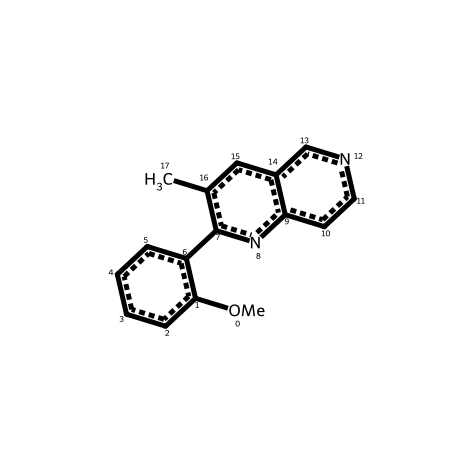 COc1ccccc1-c1nc2ccncc2cc1C